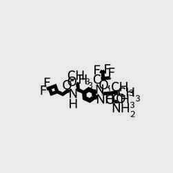 COCC(NC(=O)CC1CC(F)(F)C1)c1ccc2[nH]c([C@](COC(C)(CF)C(F)F)(OC(N)=O)C(C)(C)C)nc2c1